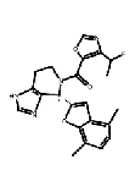 Cc1ccc(C)c2oc([C@@H]3c4nc[nH]c4CCN3C(=O)c3ocnc3C(F)F)cc12